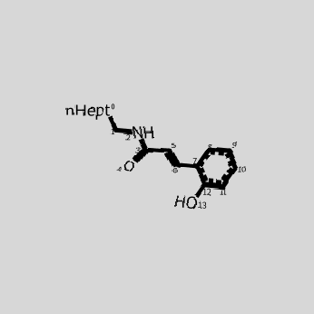 CCCCCCCCNC(=O)/C=C/c1ccccc1O